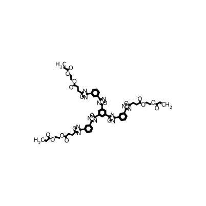 C=CC(=O)OCCOC(=O)CCc1nc(-c2cccc(-c3noc(-c4cc(-c5nc(-c6cccc(-c7noc(CCC(=O)OCCOC(=O)C=C)n7)c6)no5)cc(-c5nc(-c6cccc(-c7noc(CCC(=O)OCCOC(=O)C=C)n7)c6)no5)c4)n3)c2)no1